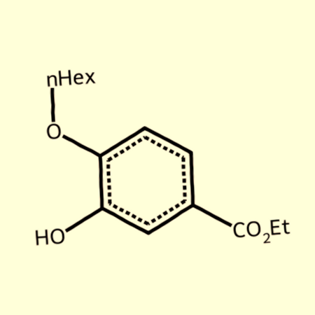 CCCCCCOc1ccc(C(=O)OCC)cc1O